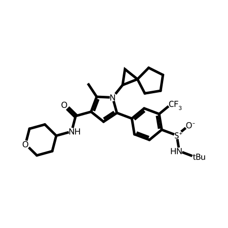 Cc1c(C(=O)NC2CCOCC2)cc(-c2ccc([S+]([O-])NC(C)(C)C)c(C(F)(F)F)c2)n1C1CC12CCCC2